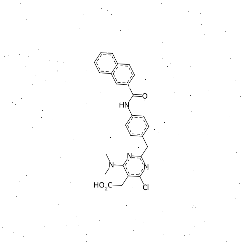 CN(C)c1nc(Cc2ccc(NC(=O)c3ccc4ccccc4c3)cc2)nc(Cl)c1CC(=O)O